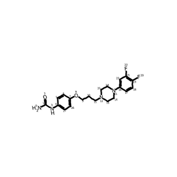 NC(=O)Nc1ccc(OCCCN2CCN(c3ccc(F)c(F)c3)CC2)cc1